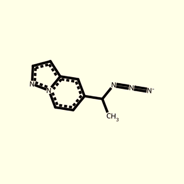 CC(N=[N+]=[N-])c1ccn2nccc2c1